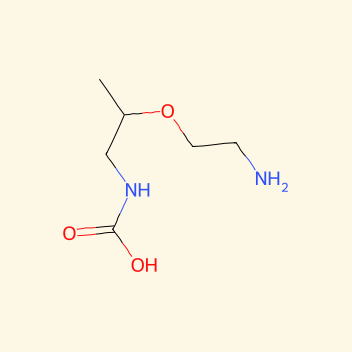 CC(CNC(=O)O)OCCN